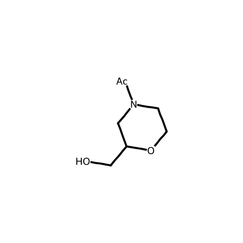 [CH2]C(=O)N1CCOC(CO)C1